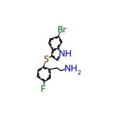 NCCc1cc(F)ccc1Sc1c[nH]c2cc(Br)ccc12